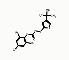 CC(C)c1cc(Cl)cc(C(C)C)c1NC(=O)NSc1cc(C(C)(C)O)co1